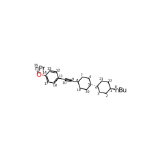 CCCC[C@H]1CC[C@H](C2CCC(C#Cc3ccc(OCCC)cc3)CC2)CC1